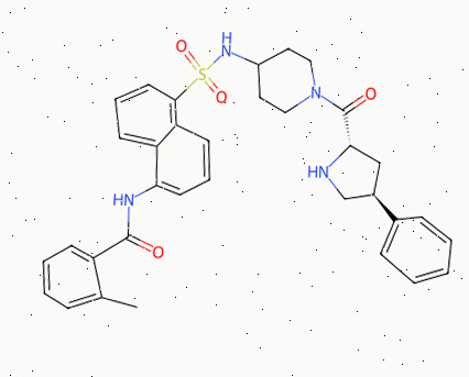 Cc1ccccc1C(=O)Nc1cccc2c(S(=O)(=O)NC3CCN(C(=O)[C@@H]4C[C@@H](c5ccccc5)CN4)CC3)cccc12